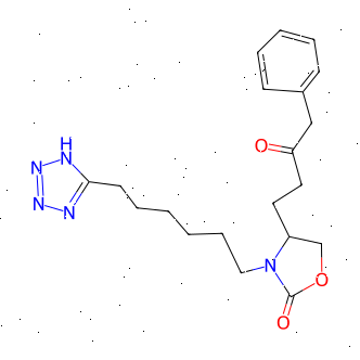 O=C(CCC1COC(=O)N1CCCCCCc1nnn[nH]1)Cc1ccccc1